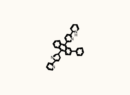 C1=CNC(c2ccc(-c3c4ccccc4c(C4C=NC(c5ccccn5)=CC4)c4ccc(-c5ccccc5)cc34)cn2)C=C1